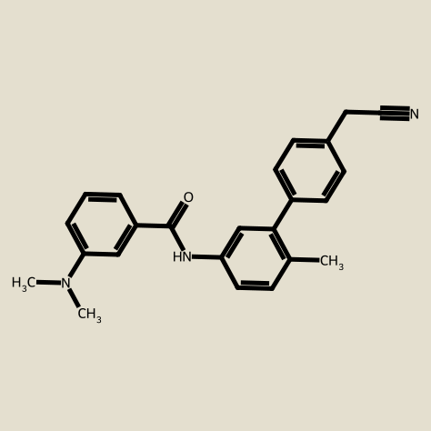 Cc1ccc(NC(=O)c2cccc(N(C)C)c2)cc1-c1ccc(CC#N)cc1